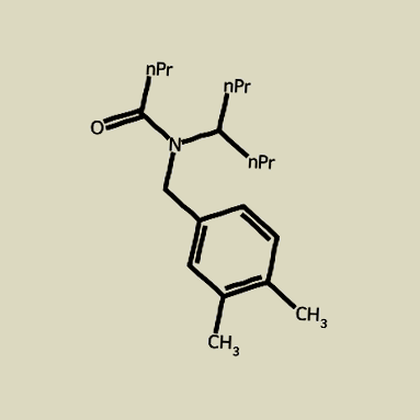 CCCC(=O)N(Cc1ccc(C)c(C)c1)C(CCC)CCC